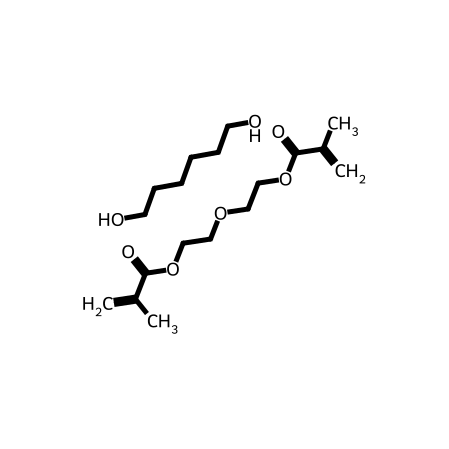 C=C(C)C(=O)OCCOCCOC(=O)C(=C)C.OCCCCCCO